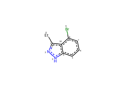 CCc1n[nH]c2cccc(Br)c12